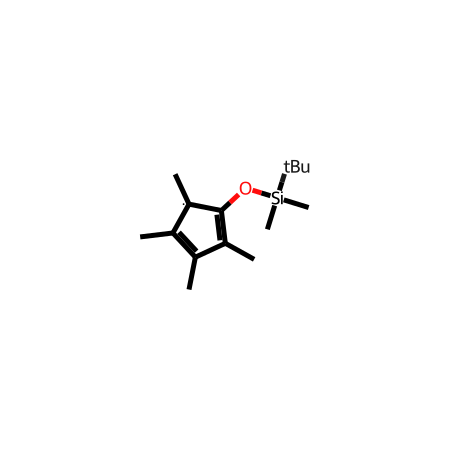 C[C]1C(C)=C(C)C(C)=C1O[Si](C)(C)C(C)(C)C